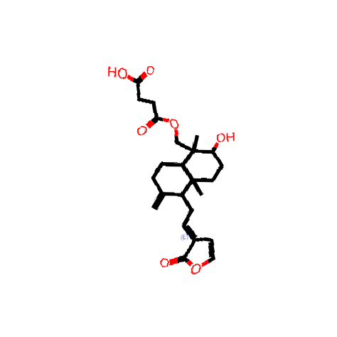 C=C1CCC2C(C)(COC(=O)CCC(=O)O)C(O)CCC2(C)C1C/C=C1\C=COC1=O